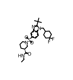 CCNC(=O)[C@H]1CCCN(S(=O)(=O)c2ccc3c(c2)nc(C(C)(C)C)n3CC2CCC(F)(F)CC2)C1